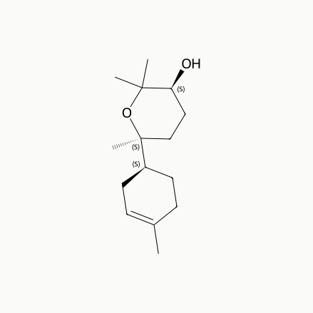 CC1=CC[C@@H]([C@]2(C)CC[C@H](O)C(C)(C)O2)CC1